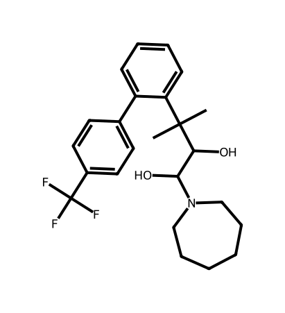 CC(C)(c1ccccc1-c1ccc(C(F)(F)F)cc1)C(O)C(O)N1CCCCCC1